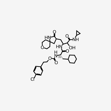 O=C(N[C@@H](CC1CCCCC1)C(=O)NC(CC1CC2(CCOCC2)NC1=O)C(O)C(=O)NC1CC1)OCCc1ccc(Cl)cc1